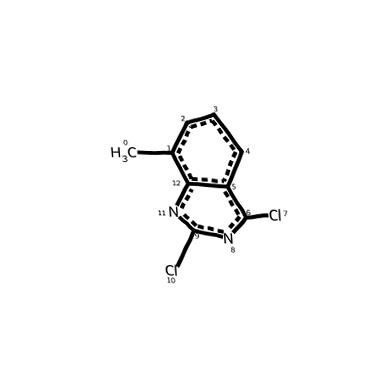 Cc1cccc2c(Cl)nc(Cl)nc12